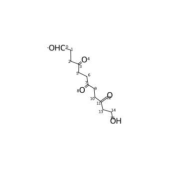 O=[C]CCC(=O)CCC(=O)CCC(=O)CCO